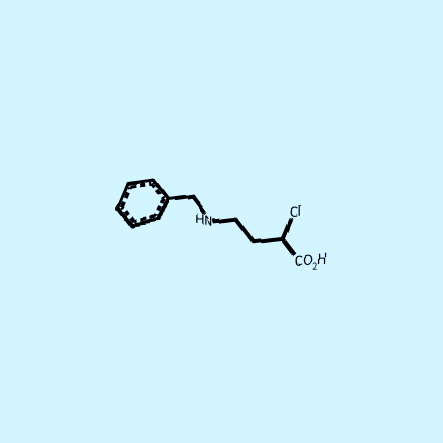 O=C(O)C(Cl)CCNCc1ccccc1